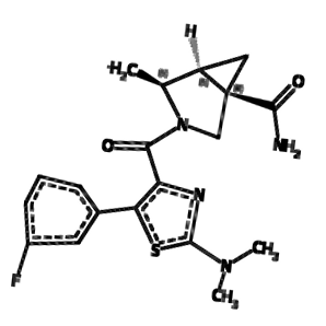 [CH2][C@H]1[C@H]2C[C@]2(C(N)=O)CN1C(=O)c1nc(N(C)C)sc1-c1cccc(F)c1